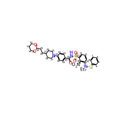 CCN(Sc1ccccc1)c1cccc(S(=O)(=O)NC(=O)c2ccc(N3CCC(CCC4OCCCO4)CC3)cc2)c1[N+](=O)[O-]